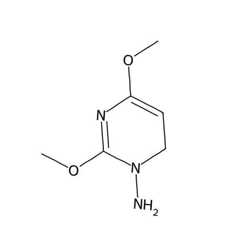 COC1=CCN(N)C(OC)=N1